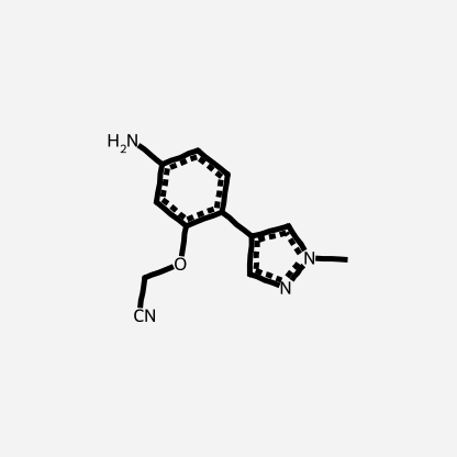 Cn1cc(-c2ccc(N)cc2OCC#N)cn1